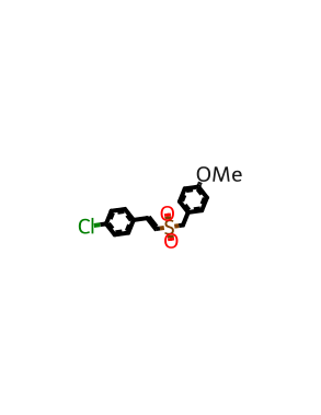 COc1ccc(CS(=O)(=O)C=Cc2ccc(Cl)cc2)cc1